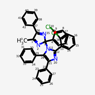 CC1=NC(c2ccccc2Cl)(n2c(-c3ccccc3Cl)nc(-c3ccccc3)c2-c2ccccc2)N=C1c1ccccc1